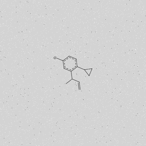 [CH2]C(C=C)c1cc(Cl)ccc1C1CC1